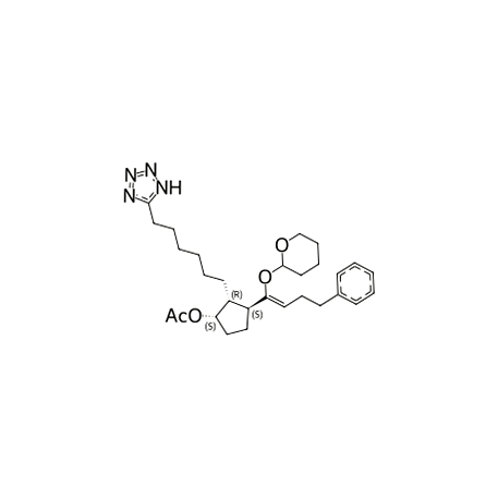 CC(=O)O[C@H]1CC[C@H](C(=CCCc2ccccc2)OC2CCCCO2)[C@H]1CCCCCCc1nnn[nH]1